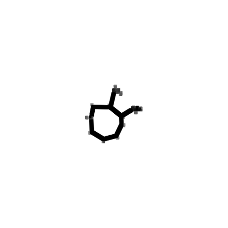 CC(=O)OC1CCCCCCC1C